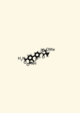 COC(=O)C1(C(=O)Nc2ccc(-c3ccc(C(N)=O)c4c3CNC4=O)c(F)c2)CC1